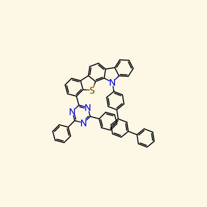 c1ccc(-c2cccc(-c3ccc(-n4c5ccccc5c5ccc6c7cccc(-c8nc(-c9ccccc9)nc(-c9ccccc9)n8)c7sc6c54)cc3)c2)cc1